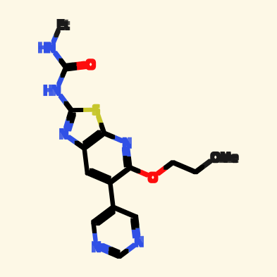 CCNC(=O)Nc1nc2cc(-c3cncnc3)c(OCCOC)nc2s1